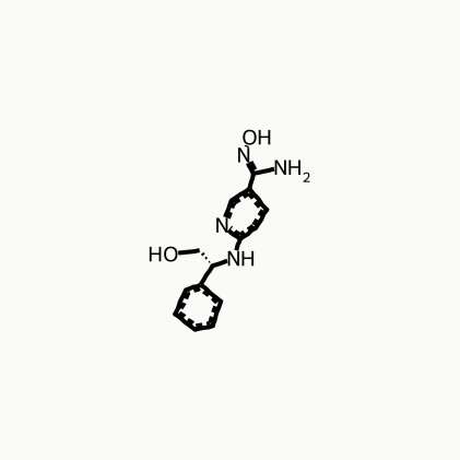 N/C(=N\O)c1ccc(N[C@@H](CO)c2ccccc2)nc1